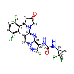 O=C1C[C@H](c2cc(F)ccc2F)N(c2ccn3nc(F)c(NC(=O)NC4CC4(F)F)c3n2)C1